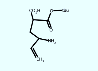 C=CC(N)CC(C(=O)O)C(=O)OC(C)(C)C